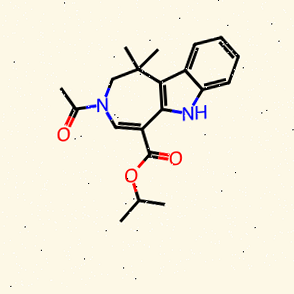 CC(=O)N1C=C(C(=O)OC(C)C)c2[nH]c3ccccc3c2C(C)(C)C1